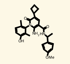 COc1ccc(C(C)NC(=O)c2cc(C3CCC3)c(=O)n(-c3c(C)ccc(O)c3C)c2N)cc1